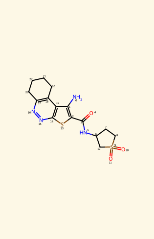 Nc1c(C(=O)NC2CCS(=O)(=O)C2)sc2nnc3c(c12)CCCC3